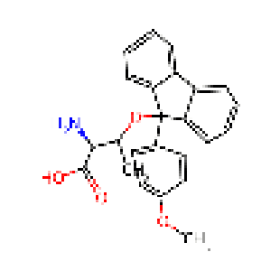 COc1ccc(C2(OC(C)[C@H](N)C(=O)O)c3ccccc3-c3ccccc32)cc1